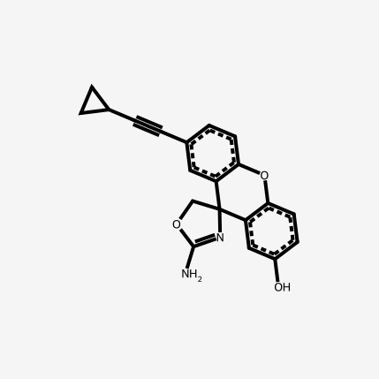 NC1=NC2(CO1)c1cc(O)ccc1Oc1ccc(C#CC3CC3)cc12